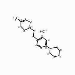 Cl.FC(F)(F)C1=CCN(CCc2ccc(C3CCCCC3)cc2)CC1